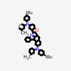 Cc1cccc(N(c2ccc(C(C)(C)C)cc2)c2ccc3cc4c5oc6ccc(N(c7ccc(C(C)(C)C)cc7)c7cccc(C)c7)cc6c5n5c6ccccc6c(c3c2)c45)c1